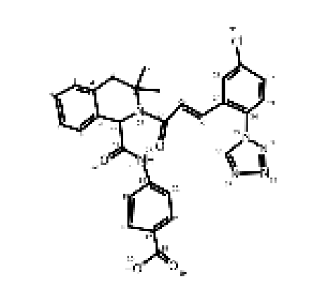 CC1(C)Cc2ccccc2C(C(=O)Nc2ccc(C(=O)O)cc2)N1C(=O)/C=C/c1cc(Cl)ccc1-n1cnnn1